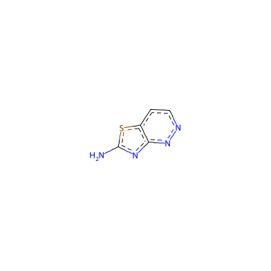 Nc1nc2nnccc2s1